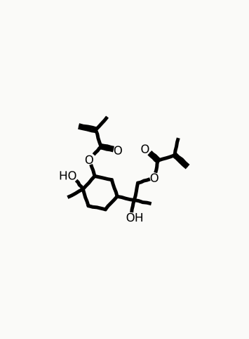 C=C(C)C(=O)OCC(C)(O)C1CCC(C)(O)C(OC(=O)C(=C)C)C1